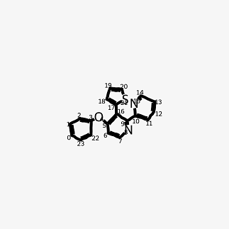 c1ccc(Oc2ccnc(-c3ccccn3)c2-c2cccs2)cc1